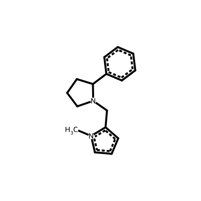 Cn1cccc1CN1CCCC1c1ccccc1